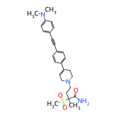 CN(C)c1ccc(C#Cc2ccc(C3=CCN(CCC(C)(C(N)=O)S(C)(=O)=O)CC3)cc2)cc1